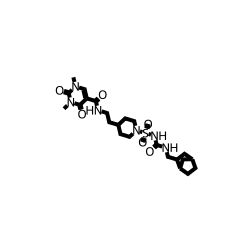 Cn1cc(C(=O)NCCC2CCN(S(=O)(=O)NC(=O)NCC3CC4CCC3C4)CC2)c(=O)n(C)c1=O